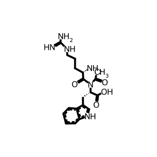 CC(=O)N(C(=O)[C@@H](N)CCCNC(=N)N)[C@@H](Cc1c[nH]c2ccccc12)C(=O)O